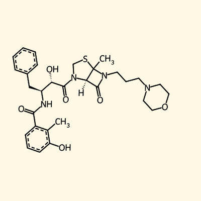 Cc1c(O)cccc1C(=O)N[C@@H](Cc1ccccc1)[C@H](O)C(=O)N1CSC2(C)[C@H]1C(=O)N2CCCN1CCOCC1